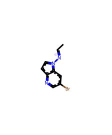 C/C=N/n1ccc2ncc(Br)cc21